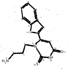 NCCCn1c(-c2cc3ccccc3s2)cc(=O)[nH]c1=S